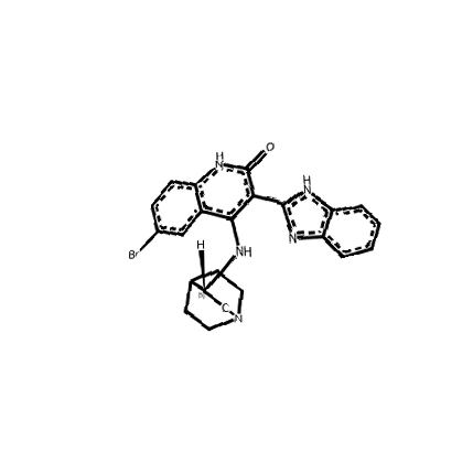 O=c1[nH]c2ccc(Br)cc2c(N[C@@H]2CN3CCC2CC3)c1-c1nc2ccccc2[nH]1